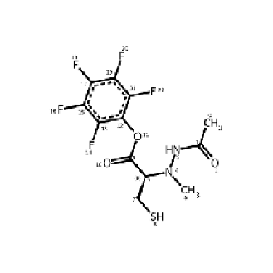 CC(=O)NN(C)[C@@H](CS)C(=O)Oc1c(F)c(F)c(F)c(F)c1F